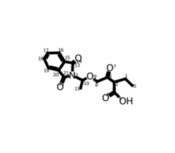 CCC(C(=O)O)C(=O)COC(C)N1C(=O)c2ccccc2C1=O